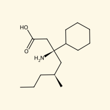 CCC[C@H](C)C[C@](N)(CC(=O)O)C1CCCCC1